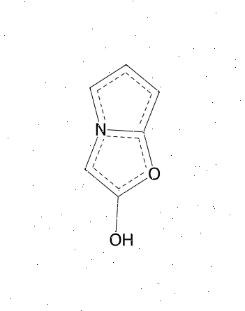 Oc1cn2cccc2o1